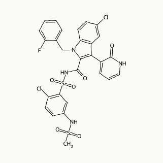 CS(=O)(=O)Nc1ccc(Cl)c(S(=O)(=O)NC(=O)c2c(-c3ccc[nH]c3=O)c3cc(Cl)ccc3n2Cc2ccccc2F)c1